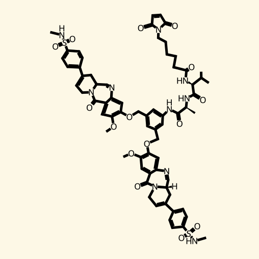 CNS(=O)(=O)c1ccc(C2=CCN3C(=O)c4cc(OC)c(OCc5cc(COc6cc7c(cc6OC)C(=O)N6CC=C(c8ccc(S(=O)(=O)NC)cc8)C[C@H]6C=N7)cc(NC(=O)[C@H](C)NC(=O)[C@@H](NC(=O)CCCCCN6C(=O)C=CC6=O)C(C)C)c5)cc4N=CC3C2)cc1